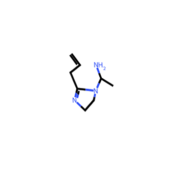 C=CCC1=NCCN1C(C)N